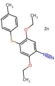 CCOc1cc(Sc2ccc(C)cc2)c(OCC)cc1[N+]#N.[Zn]